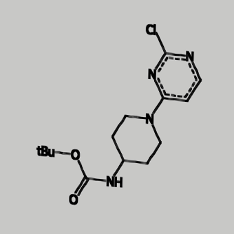 CC(C)(C)OC(=O)NC1CCN(c2ccnc(Cl)n2)CC1